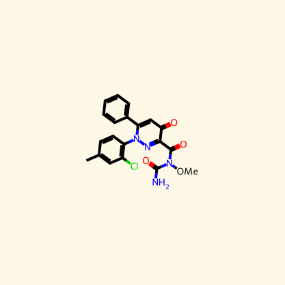 CON(C(N)=O)C(=O)c1nn(-c2ccc(C)cc2Cl)c(-c2ccccc2)cc1=O